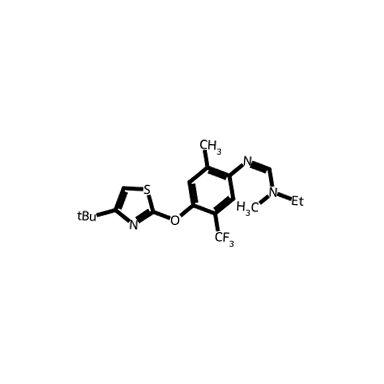 CCN(C)/C=N\c1cc(C(F)(F)F)c(Oc2nc(C(C)(C)C)cs2)cc1C